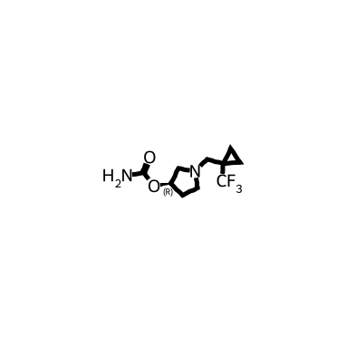 NC(=O)O[C@@H]1CCN(CC2(C(F)(F)F)CC2)C1